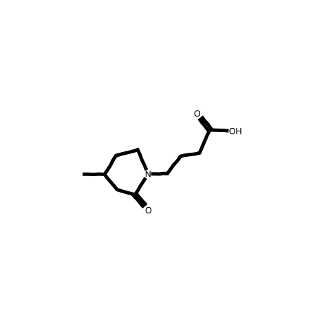 CC1CCN(CCCC(=O)O)C(=O)C1